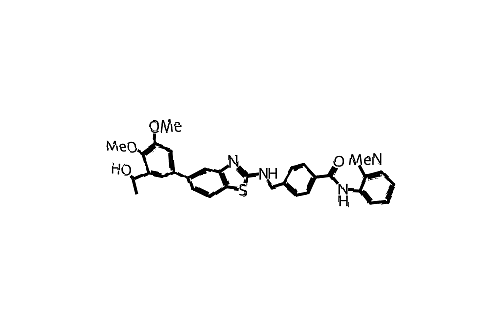 CNc1ccccc1NC(=O)c1ccc(CNc2nc3cc(-c4cc(OC)c(OC)c(C(C)O)c4)ccc3s2)cc1